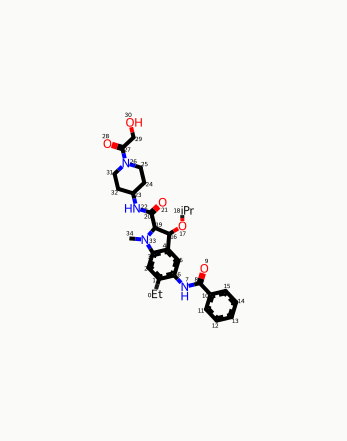 CCc1cc2c(cc1NC(=O)c1ccccc1)C(OC(C)C)C(C(=O)NC1CCN(C(=O)CO)CC1)N2C